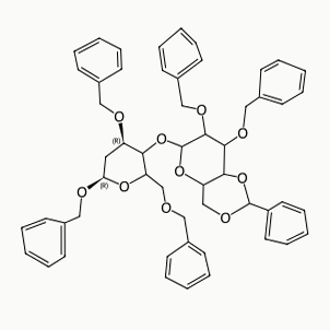 c1ccc(COCC2O[C@@H](OCc3ccccc3)C[C@@H](OCc3ccccc3)C2OC2OC3COC(c4ccccc4)OC3C(OCc3ccccc3)C2OCc2ccccc2)cc1